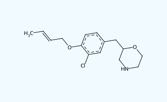 CC=CCOc1ccc(CC2CNCCO2)cc1Cl